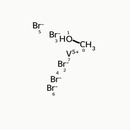 CO.[Br-].[Br-].[Br-].[Br-].[Br-].[V+5]